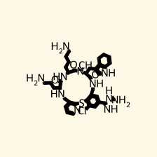 CN1C(=O)C(CCCCN)NC(=O)C(CCCN)NCc2cccnc2Sc2c(Cl)cc(C(=N)NN)cc2CNC(=O)C1Cc1c[nH]c2c1CCC=C2